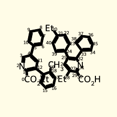 CCOC(=O)c1ncc(-c2ccccc2)cc1-c1ccccc1C.CCc1ccc(-c2cc(CC)c(C(=O)O)nc2-c2ccccc2)cc1